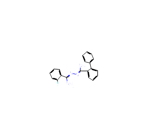 N/C(=N\N=C(/N)c1ccccc1-c1ccccc1)c1ccccc1F